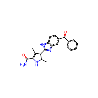 CC1=C(C(N)=O)NC(C)C1c1nc2cc(C(=O)c3ccccc3)ccc2[nH]1